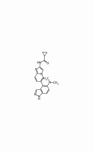 CN(C)c1ccc2[nH]ncc2c1-c1ccc2nc(NC(=O)C3CC3)cn2c1